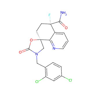 NC(=O)[C@]1(F)CC[C@@]2(CN(Cc3ccc(Cl)cc3Cl)C(=O)O2)c2ncccc21